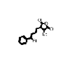 CCC(CCCC1C(=O)OC(=O)C1CC)c1ccccc1